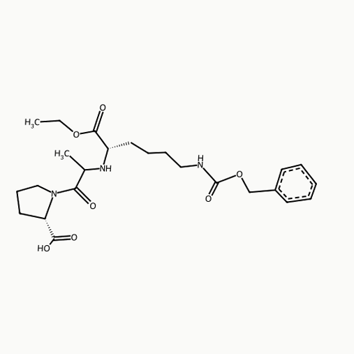 CCOC(=O)[C@H](CCCCNC(=O)OCc1ccccc1)NC(C)C(=O)N1CCC[C@H]1C(=O)O